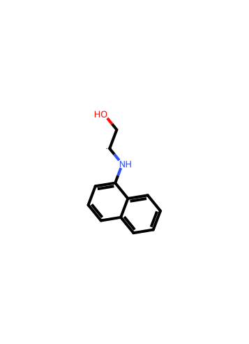 OC[CH]Nc1cccc2ccccc12